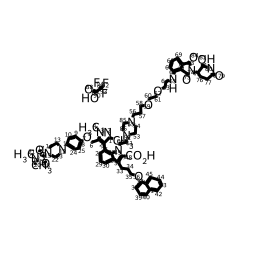 Cc1nn(C)c(COc2ccc(N3CCN(S(=O)(=O)N(C)C)CC3)cc2)c1-c1cccc2c(CCCOc3cccc4ccccc34)c(C(=O)O)n(CCN3CCN(CCCOCCOCCNc4cccc5c4C(=O)N(C4CCC(=O)NC4=O)C5=O)CC3)c12.O=C(O)C(F)(F)F